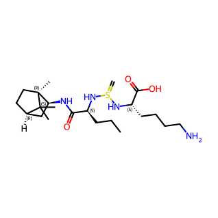 C=S(N[C@@H](CCCCN)C(=O)O)N[C@@H](CCC)C(=O)N[C@H]1C[C@H]2CC[C@]1(C)C2(C)C